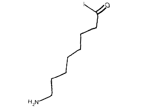 NCCCCCCCC(=O)I